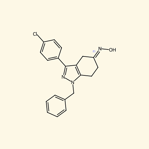 O/N=C1\CCc2c(c(-c3ccc(Cl)cc3)nn2Cc2ccccc2)C1